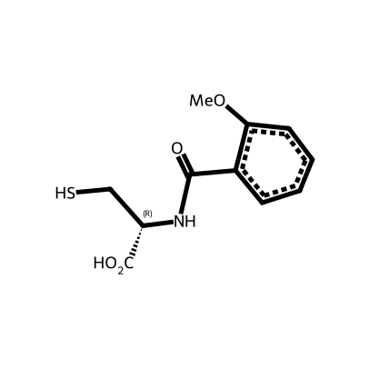 COc1ccccc1C(=O)N[C@@H](CS)C(=O)O